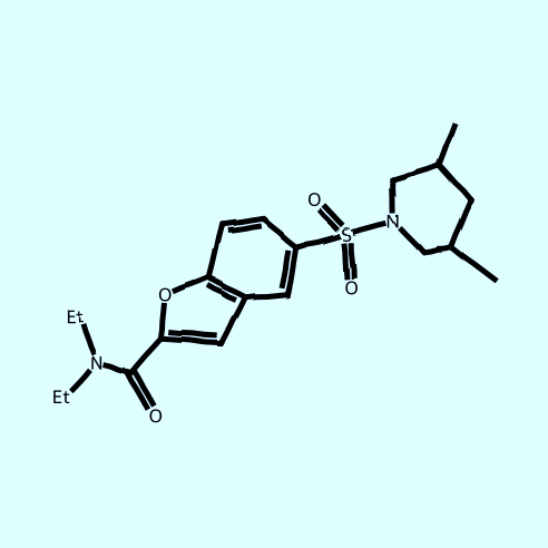 CCN(CC)C(=O)c1cc2cc(S(=O)(=O)N3CC(C)CC(C)C3)ccc2o1